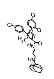 Cc1c(C(=O)NCCCNC23CC4CC(CC(C4)C2)C3)nn(-c2ccc(Cl)cc2Cl)c1-c1ccc(Cl)cc1